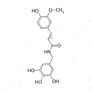 COc1cc(/C=C/C(=O)NCc2cc(O)c(O)c(O)c2)ccc1O